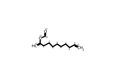 [CH]=C(CCCCCCCC=C)OC=O